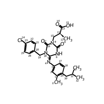 Cc1cc(/N=c2\[nH]c(=O)n(C[C@H](C)C(=O)O)c(=O)n2Cc2ccc(Cl)cc2)ccc1CC(C)C